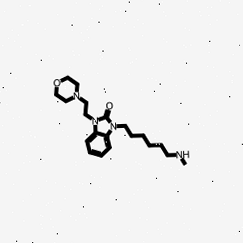 CNCCCCCCn1c(=O)n(CCN2CCOCC2)c2ccccc21